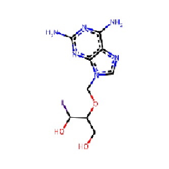 Nc1nc(N)c2ncn(COC(CO)C(O)I)c2n1